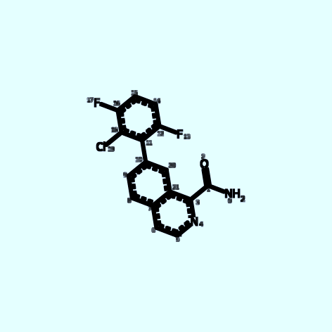 NC(=O)c1n[c]cc2ccc(-c3c(F)ccc(F)c3Cl)cc12